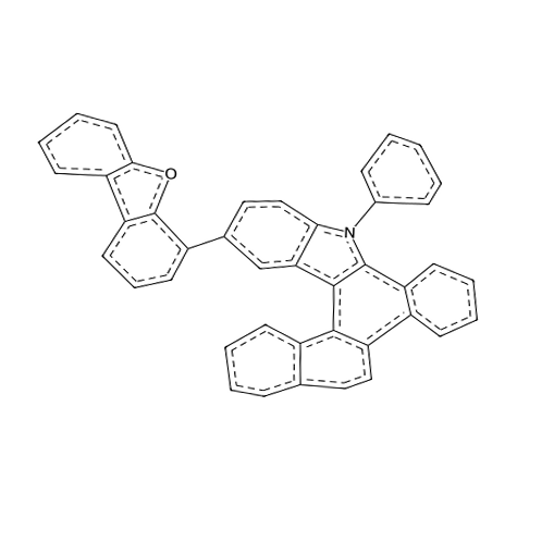 c1ccc(-n2c3ccc(-c4cccc5c4oc4ccccc45)cc3c3c4c5ccccc5ccc4c4ccccc4c32)cc1